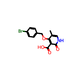 Cc1c[nH]c(=O)c(C(=O)O)c1OCc1ccc(Br)cc1